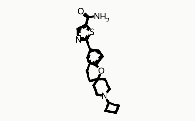 NC(=O)c1cnc(-c2ccc3c(c2)CCC2(CCN(C4CCC4)CC2)O3)s1